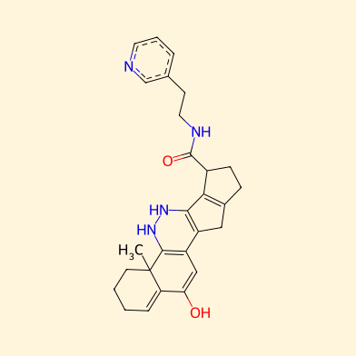 CC12CCCC=C1C(O)=CC1=C2NNC2=C1CC1=C2C(C(=O)NCCc2cccnc2)CC1